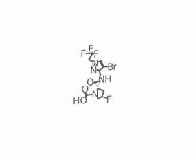 O=C(Nc1nn(CC(F)(F)F)cc1Br)[C@@H]1C[C@@H](F)CN1C(=O)O